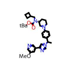 COc1cncc(-c2cn(C(C)c3ccc(N4CCC[C@@H](N(CC5CCC5)C(=O)OC(C)(C)C)C4)cc3)cn2)c1